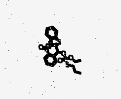 CCCSP(=O)(OCC)OC(c1nc2ccccc2s1)c1ccccc1[N+](=O)[O-]